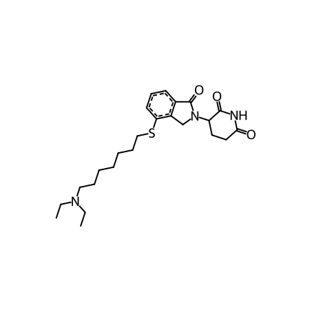 CCN(CC)CCCCCCCSc1cccc2c1CN(C1CCC(=O)NC1=O)C2=O